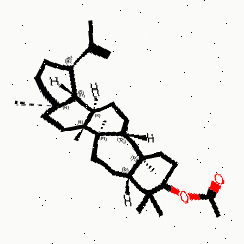 C=C(C)[C@@H]1CC[C@]2(C)CC[C@]3(C)[C@H](CC[C@@H]4[C@@]5(C)CCC(OC(C)=O)C(C)(C)[C@@H]5CC[C@]43C)[C@@H]12